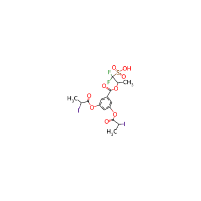 CC(I)C(=O)Oc1cc(OC(=O)C(C)I)cc(C(=O)OC(C)C(F)(F)S(=O)(=O)O)c1